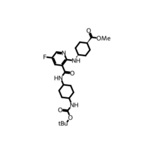 COC(=O)[C@H]1CC[C@H](Nc2ncc(F)cc2C(=O)NC2CCC(NC(=O)OC(C)(C)C)CC2)CC1